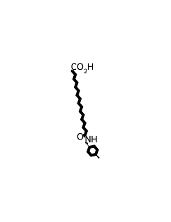 C[C@H]1CC[C@H](CNC(=O)CCCCCCCCCCCCCCCCC(=O)O)CC1